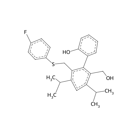 CC(C)c1cc(C(C)C)c(CSc2ccc(F)cc2)c(-c2ccccc2O)c1CO